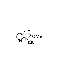 COC(=O)N(c1ncccc1C)C(C)(C)C